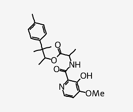 COc1ccnc(C(=O)NC(C)C(=O)OC(C)C(C)(C)c2ccc(C)cc2)c1O